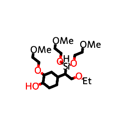 CCOCC(C1CCC(O)C(OCCOC)C1)[SiH](OCCOC)OCCOC